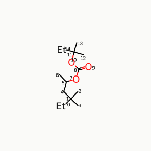 CCC(C)(C)CC(C)OC(=O)OC(C)(C)CC